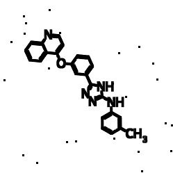 Cc1cccc(Nc2nnc(-c3cccc(Oc4ccnc5ccccc45)c3)[nH]2)c1